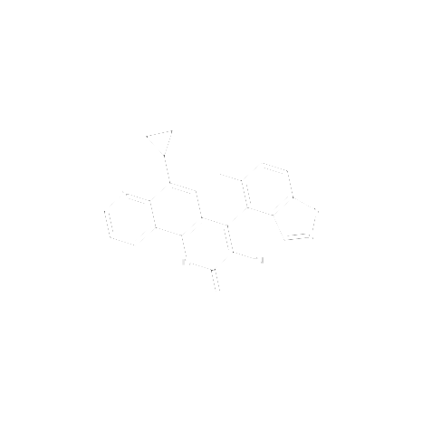 Nc1c(-c2c(F)ccc3[nH]ncc23)c2cc(C3CC3)c3ncccc3c2[nH]c1=O